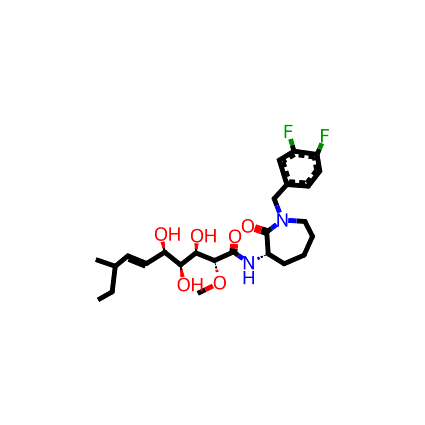 CCC(C)/C=C/[C@@H](O)[C@H](O)[C@@H](O)[C@@H](OC)C(=O)N[C@H]1CCCCN(Cc2ccc(F)c(F)c2)C1=O